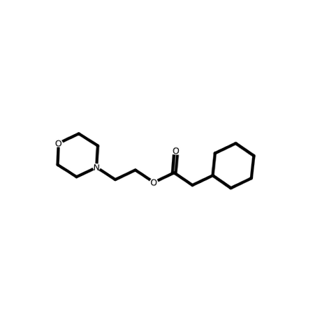 O=C(CC1CCCCC1)OCCN1CCOCC1